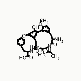 CCC(C)[C@@H]1NC(=O)C(N)Cc2ccc(OC)c(c2)-c2cc3cc(c2O)Oc2ccc(cc2)CC(C(=O)O)NC(=O)C(C3)NC1=O